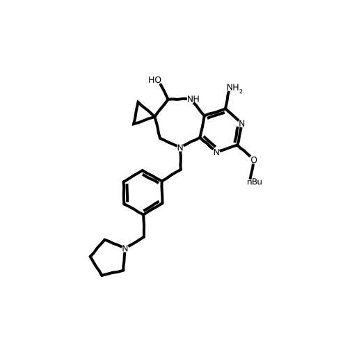 CCCCOc1nc(N)c2c(n1)N(Cc1cccc(CN3CCCC3)c1)CC1(CC1)C(O)N2